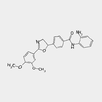 COc1ccc(C2=NCC(c3ccc(C(=O)Nc4ccccc4N)cc3)O2)cc1OC